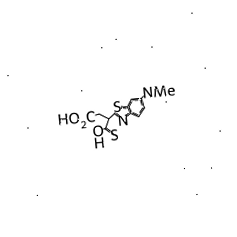 CNc1ccc2nc(C(CC(=O)O)C(O)=S)sc2c1